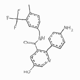 Cc1ccc(NC(=O)c2cc(O)cnc2-c2ccc(N)cc2)cc1C(F)(F)F